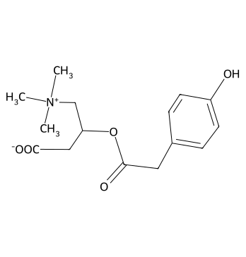 C[N+](C)(C)CC(CC(=O)[O-])OC(=O)Cc1ccc(O)cc1